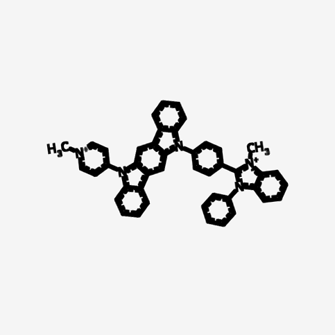 C[n+]1ccc(-n2c3ccccc3c3cc4c(cc32)c2ccccc2n4-c2ccc(-c3n(-c4ccccc4)c4ccccc4[n+]3C)cc2)cc1